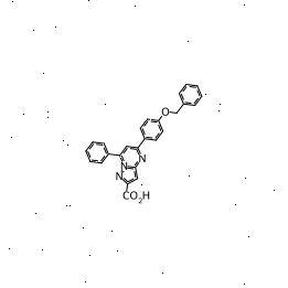 O=C(O)c1cc2nc(-c3ccc(OCc4ccccc4)cc3)cc(-c3ccccc3)n2n1